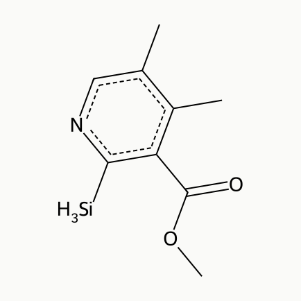 COC(=O)c1c([SiH3])ncc(C)c1C